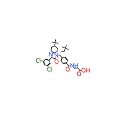 CC(C)(C)CC[C@H](c1ccc(C(=O)NCCC(=O)O)cc1)N1C(=O)C(c2cc(Cl)cc(Cl)c2)=NC12CCC(C(C)(C)C)CC2